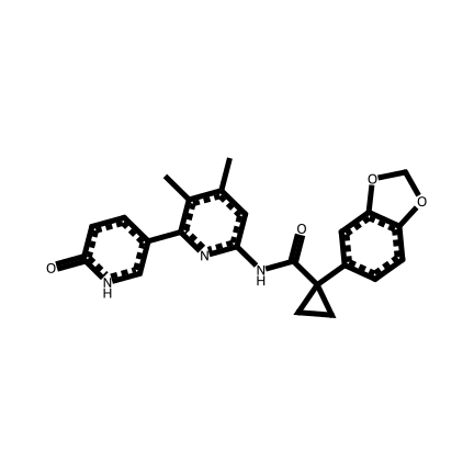 Cc1cc(NC(=O)C2(c3ccc4c(c3)OCO4)CC2)nc(-c2ccc(=O)[nH]c2)c1C